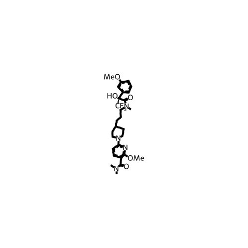 COc1cccc([C@@](O)(C(=O)N(C)CCCC2CCN(c3ccc(C(=O)N(C)C)c(OC)n3)CC2)C(F)(F)F)c1